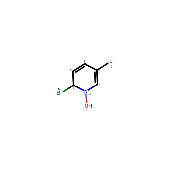 CC(C)C1=CN(O)C(Br)C=C1